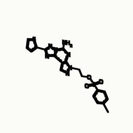 Cc1ccc(S(=O)(=O)OCCn2ncc3c2nc(N)n2nc(-c4cccs4)nc32)cc1